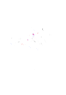 COCOc1cc(-c2ccc3c(N4CC5CCC(C4)N5C(=O)OC(C)(C)C)nc(OC[C@@]45CCCN4C[C@H](F)C5)nc3n2)c2c(C#C[Si](C(C)C)(C(C)C)C(C)C)c(F)ccc2c1